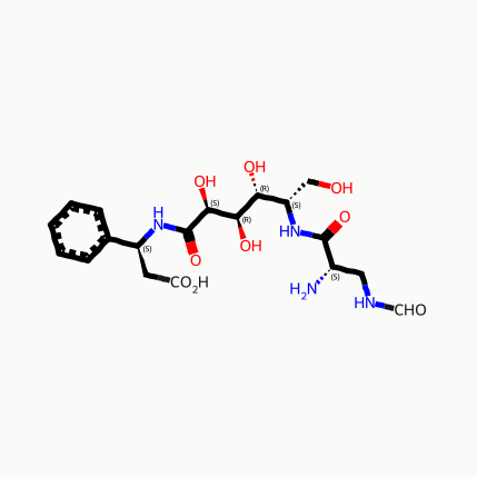 N[C@@H](CNC=O)C(=O)N[C@@H](CO)[C@@H](O)[C@@H](O)[C@H](O)C(=O)N[C@@H](CC(=O)O)c1ccccc1